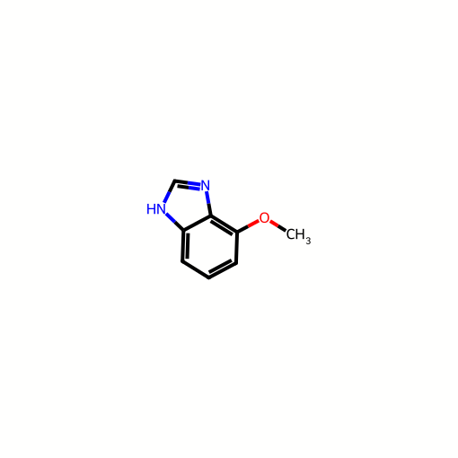 COc1cccc2[nH]cnc12